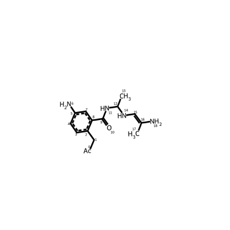 CC(=O)Cc1ccc(N)cc1C(=O)NC(C)N/C=C(\C)N